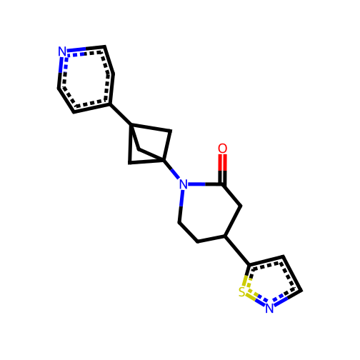 O=C1CC(c2ccns2)CCN1C12CC(c3ccncc3)(C1)C2